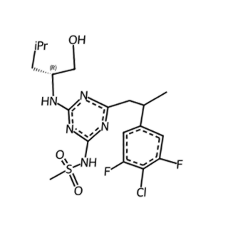 CC(C)C[C@H](CO)Nc1nc(CC(C)c2cc(F)c(Cl)c(F)c2)nc(NS(C)(=O)=O)n1